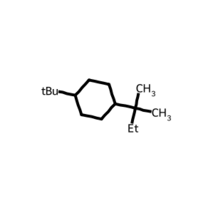 CCC(C)(C)C1CCC(C(C)(C)C)CC1